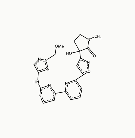 COCn1ncc(Nc2nccc(-c3cccc(-c4cc(C5(O)CCN(C)C5=O)no4)n3)n2)n1